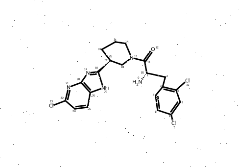 N[C@@H](Cc1ccc(Cl)cc1Cl)C(=O)N1CCC[C@H](c2nc3nc(Cl)ccc3[nH]2)C1